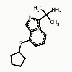 CC(C)(N)c1ncc2c(SC3CCCC3)cccn12